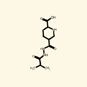 CC(C)C(=O)NNC(=O)C1CCC(C(=O)O)NC1